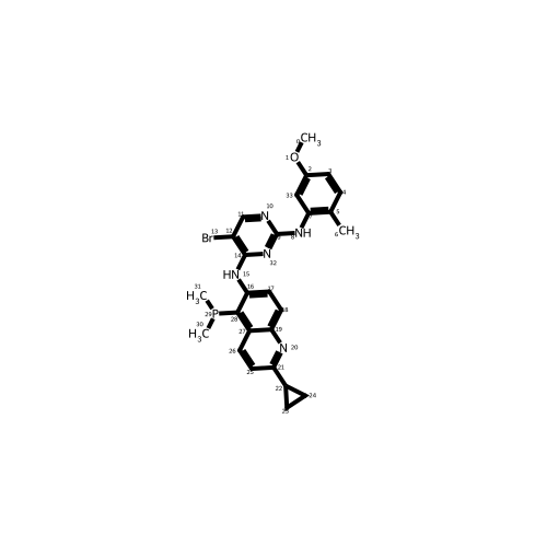 COc1ccc(C)c(Nc2ncc(Br)c(Nc3ccc4nc(C5CC5)ccc4c3P(C)C)n2)c1